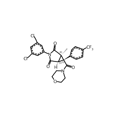 C[C@@]12C(=O)N(c3cc(Cl)cc(Cl)c3)C(=O)[C@@H]1[C@]2(C(=O)N1CCOCC1)c1ccc(C(F)(F)F)cc1